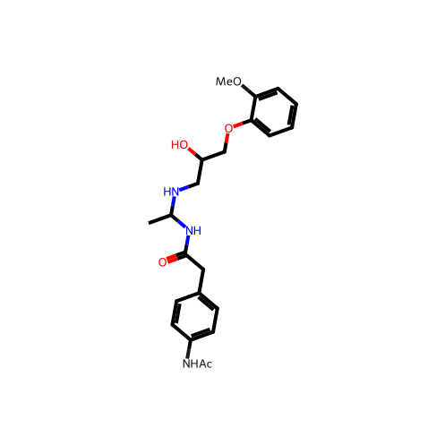 COc1ccccc1OCC(O)CNC(C)NC(=O)Cc1ccc(NC(C)=O)cc1